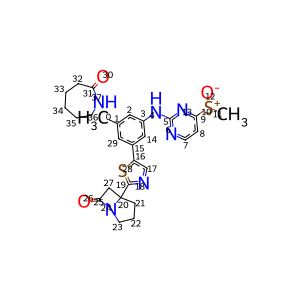 Cc1cc(Nc2nccc([S+](C)[O-])n2)cc(-c2cnc(C34CCCN3C(=O)C4)s2)c1.O=C1CCCCCN1